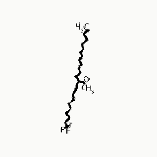 CCCCCCCCCCCCCC(CCCCCCCCCC(F)(F)F)C(C)=O